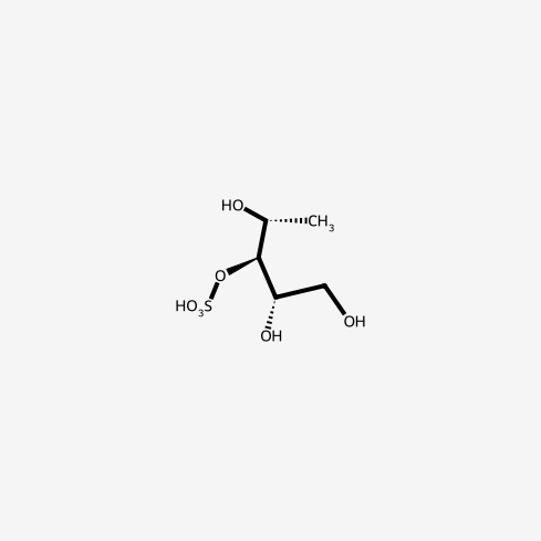 C[C@@H](O)[C@H](OS(=O)(=O)O)[C@@H](O)CO